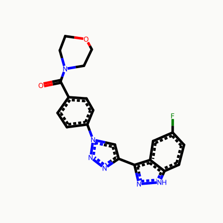 O=C(c1ccc(-n2cc(-c3n[nH]c4ccc(F)cc34)nn2)cc1)N1CCOCC1